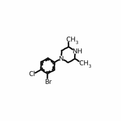 CC1CN(c2ccc(Cl)c(Br)c2)CC(C)N1